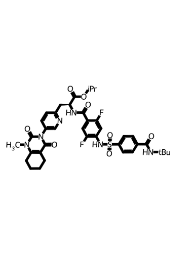 CC(C)OC(=O)[C@H](Cc1ccc(-n2c(=O)c3c(n(C)c2=O)CCCC3)cn1)NC(=O)c1cc(F)c(NS(=O)(=O)c2ccc(C(=O)NC(C)(C)C)cc2)cc1F